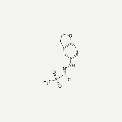 CS(=O)(=O)C(Cl)=NNc1ccc2c(c1)CCO2